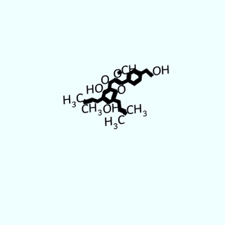 COc1c(-c2ccc(CCO)cc2)oc2c(CC=C(C)C)c(O)c(CC=C(C)C)c(O)c2c1=O